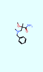 COC(C)(CN(C)Cc1ccccc1)C(N)=O